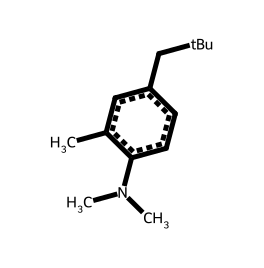 Cc1cc(CC(C)(C)C)ccc1N(C)C